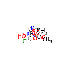 COc1ccc(S(=O)(=O)N2C(=O)C(c3cccnc3OC)(N3CCC(O)C3)c3cc(Cl)ccc32)c(OC)c1